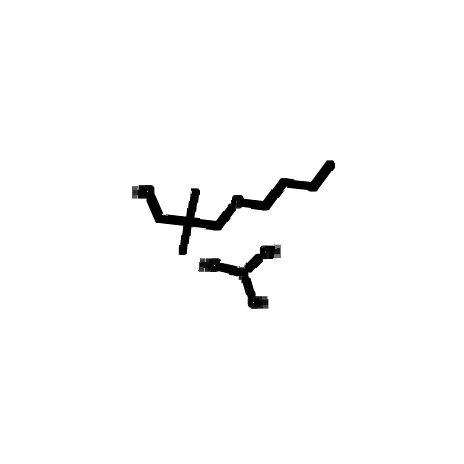 CCCCOCC(C)(C)CO.OB(O)O